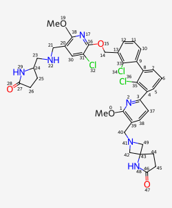 COc1nc(-c2cccc(-c3cccc(COc4nc(OC)c(CNCC5CCC(=O)N5)cc4Cl)c3Cl)c2Cl)ccc1CN1CC2(CCC(=O)N2)C1